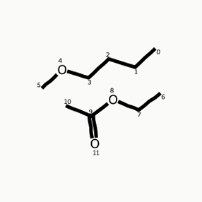 CCCCOC.CCOC(C)=O